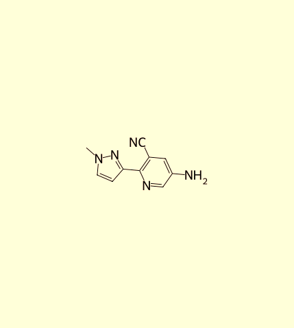 Cn1ccc(-c2ncc(N)cc2C#N)n1